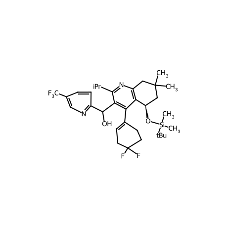 CC(C)c1nc2c(c(C3=CCC(F)(F)CC3)c1C(O)c1ccc(C(F)(F)F)cn1)[C@H](O[Si](C)(C)C(C)(C)C)CC(C)(C)C2